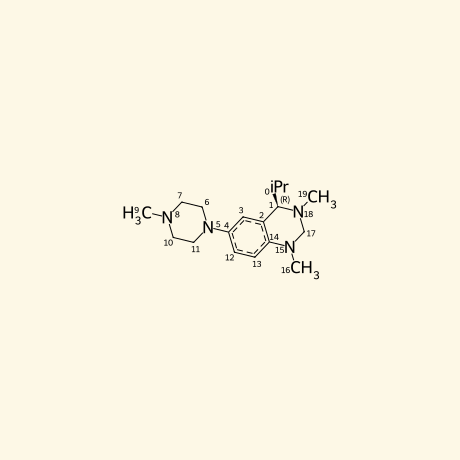 CC(C)[C@@H]1c2cc(N3CCN(C)CC3)ccc2N(C)CN1C